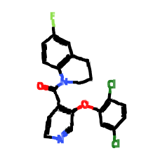 O=C(c1ccncc1Oc1cc(Cl)ccc1Cl)N1CCCc2cc(F)ccc21